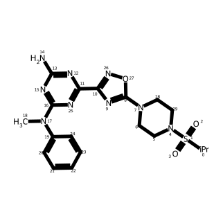 CC(C)S(=O)(=O)N1CCN(c2nc(-c3nc(N)nc(N(C)c4ccccc4)n3)no2)CC1